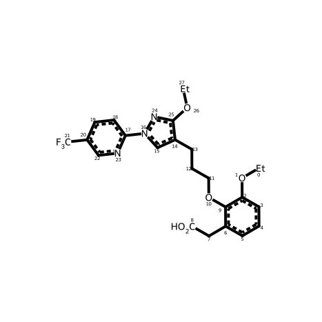 CCOc1cccc(CC(=O)O)c1OCCCc1cn(-c2ccc(C(F)(F)F)cn2)nc1OCC